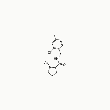 CC(=O)N1CCCC1C(=O)NCc1ccc(C)cc1Cl